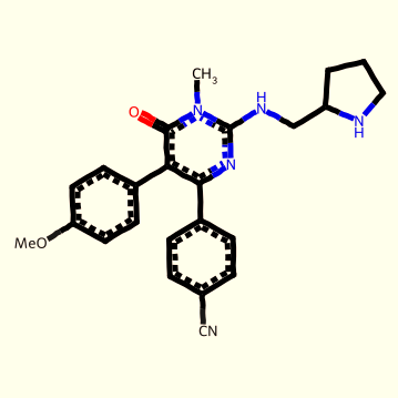 COc1ccc(-c2c(-c3ccc(C#N)cc3)nc(NCC3CCCN3)n(C)c2=O)cc1